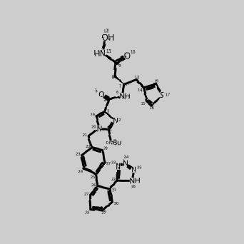 CCCCc1nc(C(=O)N[C@@H](CC(=O)NO)Cc2ccsc2)cn1Cc1ccc(-c2ccccc2-c2nnn[nH]2)cc1